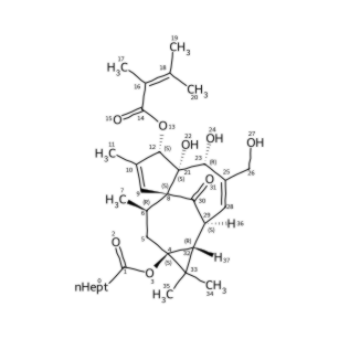 CCCCCCCC(=O)O[C@@]12C[C@@H](C)[C@]34C=C(C)[C@H](OC(=O)C(C)=C(C)C)[C@@]3(O)[C@H](O)C(CO)=C[C@H](C4=O)[C@@H]1C2(C)C